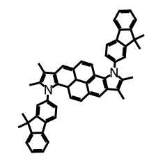 Cc1c2c(n(-c3ccc4c(c3)C(C)(C)c3ccccc3-4)c1C)C1C=Cc3cc4c(C)c(C)n(-c5ccc6c(c5)C(C)(C)c5ccccc5-6)c4c4c3C1C(=C2)C=C4